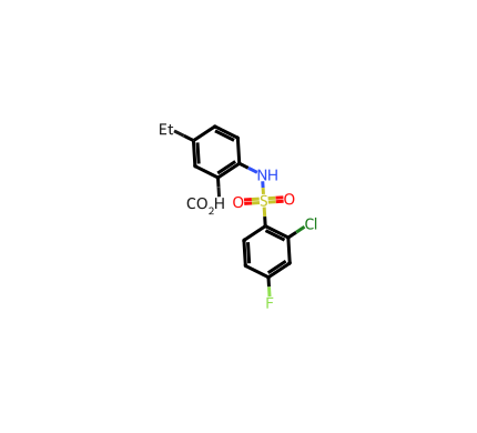 CCc1ccc(NS(=O)(=O)c2ccc(F)cc2Cl)c(C(=O)O)c1